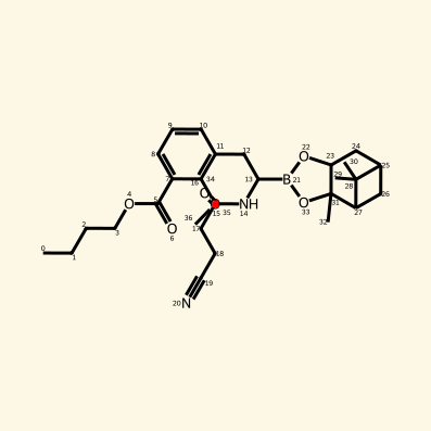 CCCCOC(=O)c1cccc(CC(NC(=O)CCC#N)B2OC3CC4CC(C4(C)C)C3(C)O2)c1OC